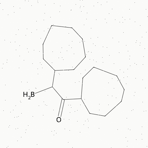 BC(C(=O)C1CCCCCCC1)C1CCCCCCC1